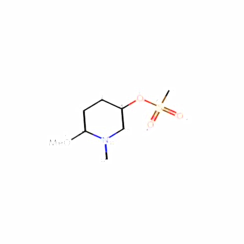 COC1CCC(OS(C)(=O)=O)CN1C